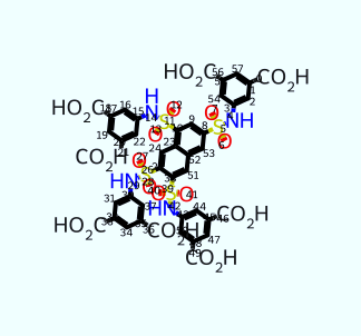 O=C(O)c1cc(NS(=O)(=O)c2cc(S(=O)(=O)Nc3cc(C(=O)O)cc(C(=O)O)c3)c3cc(S(=O)(=O)Nc4cc(C(=O)O)cc(C(=O)O)c4)c(S(=O)(=O)Nc4cc(C(=O)O)cc(C(=O)O)c4)cc3c2)cc(C(=O)O)c1